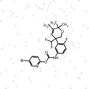 CC1(C)OCC(c2cc(NC(=O)Oc3ccc(Br)cn3)ccc2F)(C(F)F)N=C1N